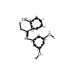 CCC(=Nc1cc(OC)cc(OC)c1)c1ccccc1Cl